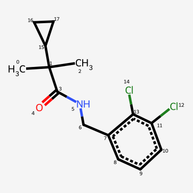 CC(C)(C(=O)NCc1cccc(Cl)c1Cl)C1CC1